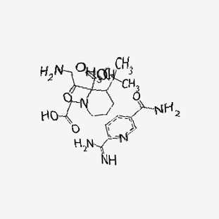 CC(C)(C)C1CCCN(CC(=O)O)C1(C(=O)O)C(=O)CN.N=C(N)c1ccc(C(N)=O)cn1